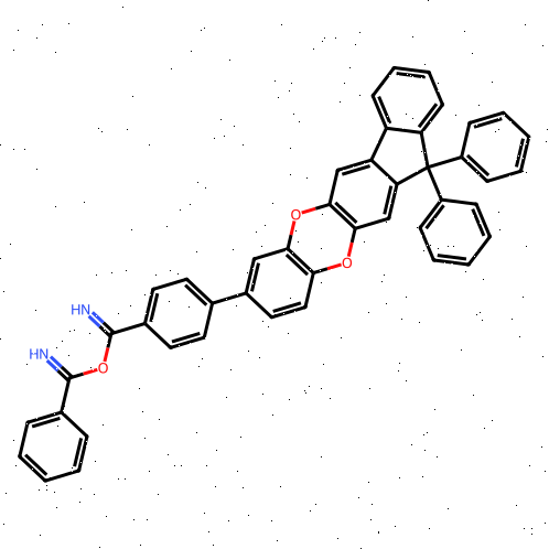 N=C(OC(=N)c1ccc(-c2ccc3c(c2)Oc2cc4c(cc2O3)C(c2ccccc2)(c2ccccc2)c2ccccc2-4)cc1)c1ccccc1